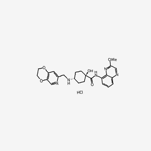 COc1cnc2cccc(NC(=O)[C@]3(O)CC[C@H](NCc4cc5c(cn4)OCCO5)CC3)c2n1.Cl